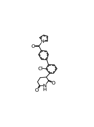 O=C1CCC(c2cccc(-c3ccc(C(=O)n4cccc4)cc3)c2Cl)C(=O)N1